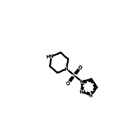 O=S(=O)(N1CCNCC1)n1ccnn1